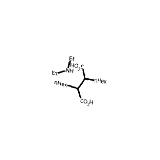 CCCCCCC(C(=O)O)C(CCCCCC)C(=O)O.CCNCC